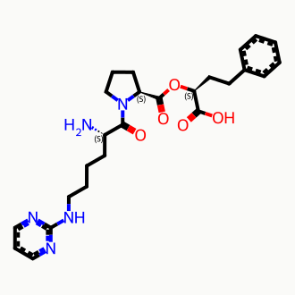 N[C@@H](CCCCNc1ncccn1)C(=O)N1CCC[C@H]1C(=O)O[C@@H](CCc1ccccc1)C(=O)O